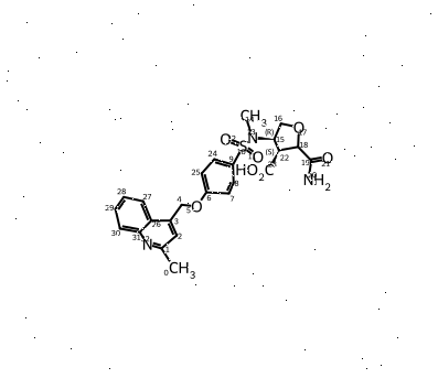 Cc1cc(COc2ccc(S(=O)(=O)N(C)[C@H]3COC(C(N)=O)[C@H]3C(=O)O)cc2)c2ccccc2n1